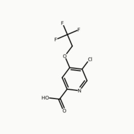 O=C(O)c1cc(OCC(F)(F)F)c(Cl)cn1